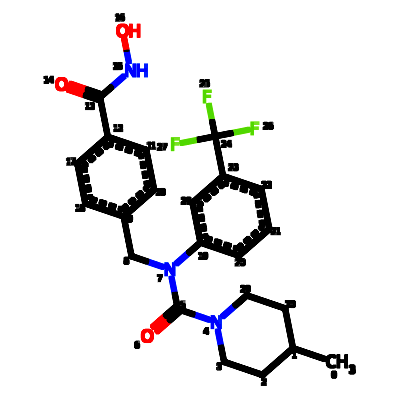 CC1CCN(C(=O)N(Cc2ccc(C(=O)NO)cc2)c2cccc(C(F)(F)F)c2)CC1